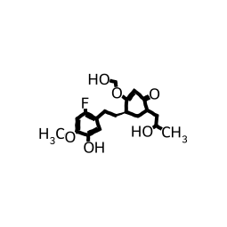 COc1cc(F)c(CC[C@@H]2CC(CC(C)O)C(=O)C=C2OCO)cc1O